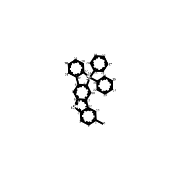 Cc1ccc2sc3cc4c(cc3c2c1)[Si](c1ccccc1)(c1ccccc1)c1ccccc1-4